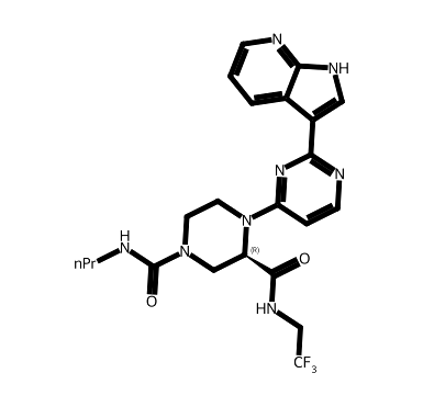 CCCNC(=O)N1CCN(c2ccnc(-c3c[nH]c4ncccc34)n2)[C@@H](C(=O)NCC(F)(F)F)C1